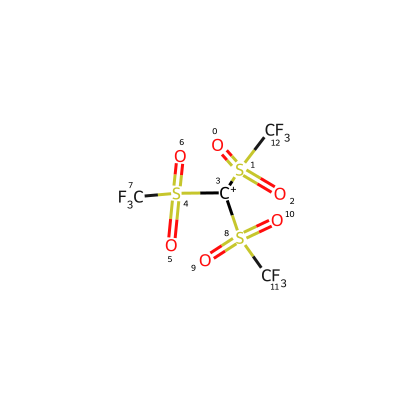 O=S(=O)([C+](S(=O)(=O)C(F)(F)F)S(=O)(=O)C(F)(F)F)C(F)(F)F